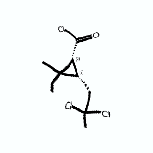 CC(Cl)(Cl)C[C@H]1[C@@H](C(=O)Cl)C1(C)C